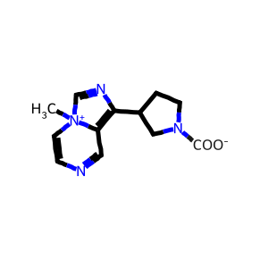 C[N+]12C=CN=CC1=C(C1CCN(C(=O)[O-])C1)N=C2